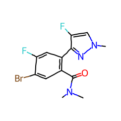 CN(C)C(=O)c1cc(Br)c(F)cc1-c1nn(C)cc1F